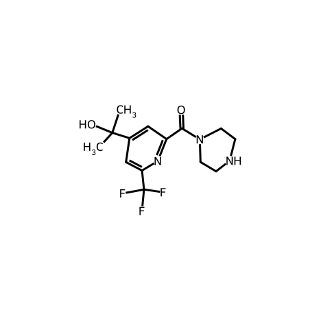 CC(C)(O)c1cc(C(=O)N2CCNCC2)nc(C(F)(F)F)c1